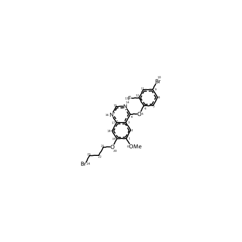 COc1cc2c(Oc3ccc(Br)cc3F)ncnc2cc1OCCCBr